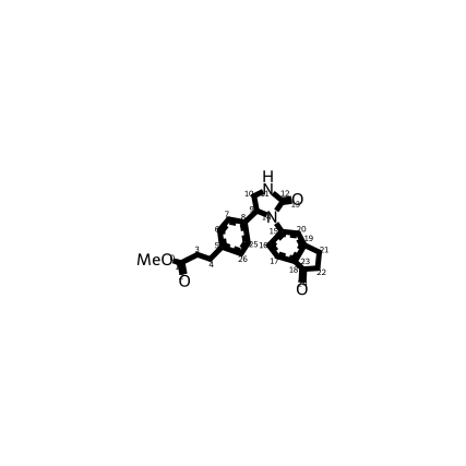 COC(=O)CCc1ccc(C2CNC(=O)N2c2ccc3c(c2)CCC3=O)cc1